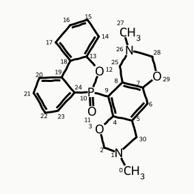 CN1COc2c(cc3c(c2P2(=O)Oc4ccccc4-c4ccccc42)CN(C)CO3)C1